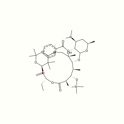 C=C1[C@@H](CC)OC(=O)[C@H](C)[C@@H](O[Si](C)(C)C)[C@H](C)[C@@H](OC2O[C@H](C)C[C@H](N(C)C)[C@H]2OC(=O)c2ccccc2)[C@@](C)(O)C[C@@H](C)[C@@H]2OC(C)(C)O[C@@H]1C2(C)C